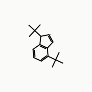 CC(C)(C)c1cccc2c1C=[C]C2C(C)(C)C